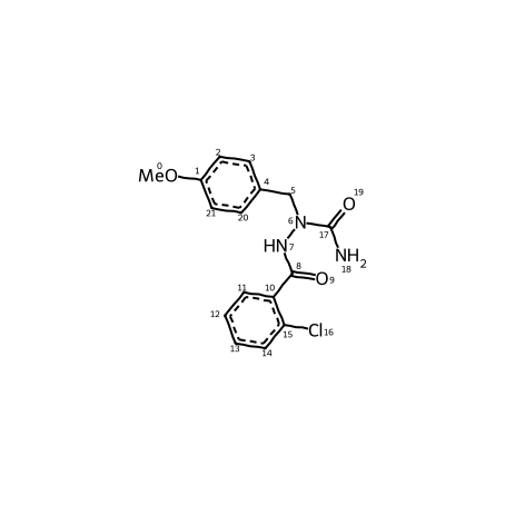 COc1ccc(CN(NC(=O)c2ccccc2Cl)C(N)=O)cc1